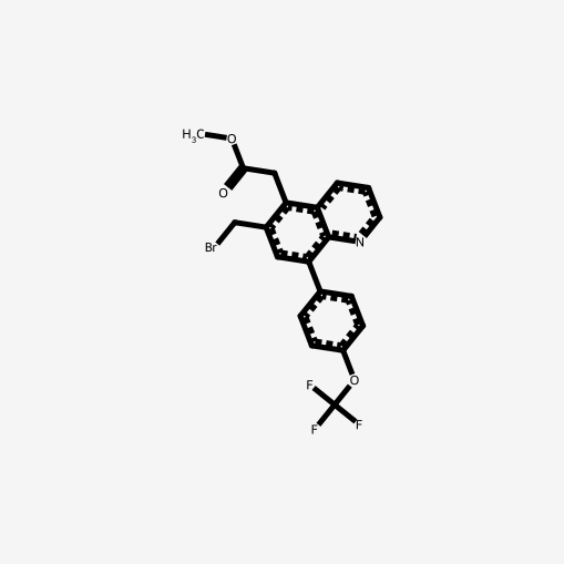 COC(=O)Cc1c(CBr)cc(-c2ccc(OC(F)(F)F)cc2)c2ncccc12